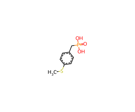 CSc1ccc(CP(=O)(O)O)cc1